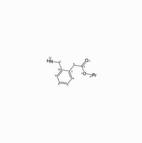 CC(C)OC(=O)Cc1ccccc1C[NH]